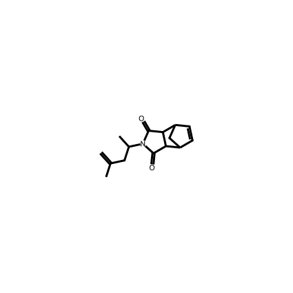 C=C(C)CC(C)N1C(=O)C2C3C=CC(C3)C2C1=O